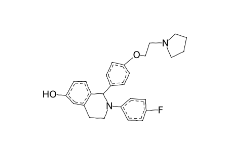 Oc1ccc2c(c1)CCN(c1ccc(F)cc1)C2c1ccc(OCCN2CCCC2)cc1